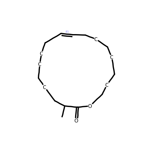 CC1CCCCCC/C=C/CCCCCCCOC1=O